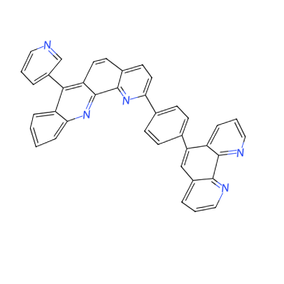 c1cncc(-c2c3ccccc3nc3c2ccc2ccc(-c4ccc(-c5cc6cccnc6c6ncccc56)cc4)nc23)c1